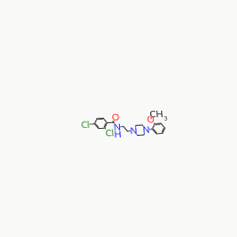 COc1ccccc1N1CCN(CCNC(=O)c2ccc(Cl)cc2Cl)CC1